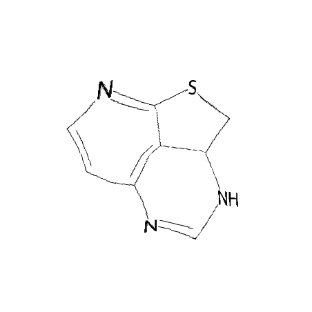 C1=Nc2ccnc3c2C(CS3)N1